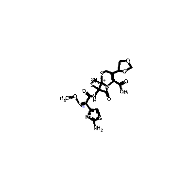 CO/N=C(\C(=O)NC1(SC)C(=O)N2C(C(=O)O)=C(C3COCO3)CS[C@H]21)c1csc(N)n1